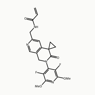 C=CC(=O)NCc1cc2c(cn1)CN(c1c(F)c(OC)nc(OC)c1F)C(=O)C21CC1